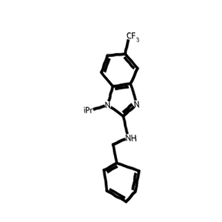 CC(C)n1c(NCc2ccccc2)nc2cc(C(F)(F)F)ccc21